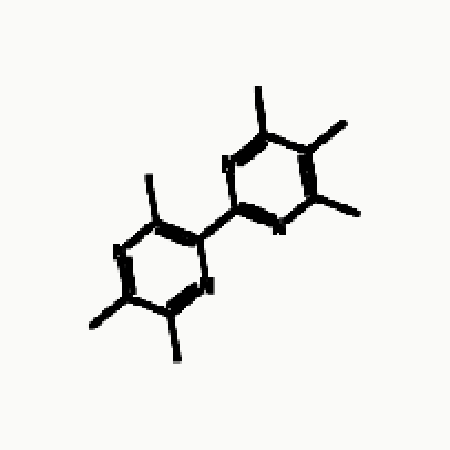 Cc1nc(C)c(-c2nc(C)c(C)c(C)n2)nc1C